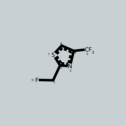 FCc1nc(C(F)(F)F)cs1